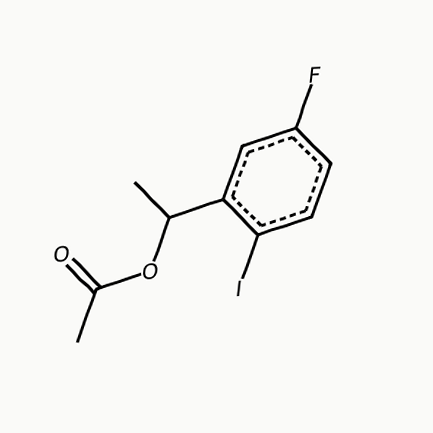 CC(=O)OC(C)c1cc(F)ccc1I